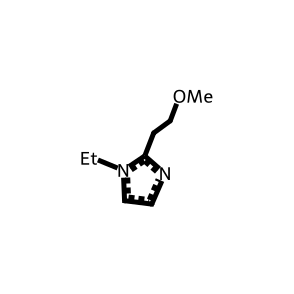 CCn1ccnc1CCOC